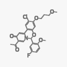 COCCCOc1cc2c(cc1Cl)-c1cc(=O)c(C(C)=O)cn1C(c1cc(F)ccc1OC)O2